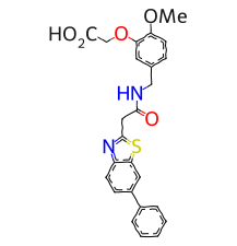 COc1ccc(CNC(=O)Cc2nc3ccc(-c4ccccc4)cc3s2)cc1OCC(=O)O